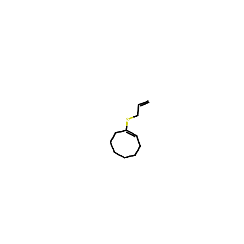 C=CCS/C1=C/CCCCCC1